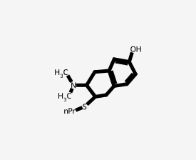 CCCSC1Cc2ccc(O)cc2CC1N(C)C